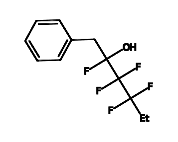 CCC(F)(F)C(F)(F)C(O)(F)Cc1ccccc1